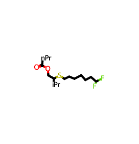 CCCC(=O)OCC(SCCCCCCC(F)F)C(C)C